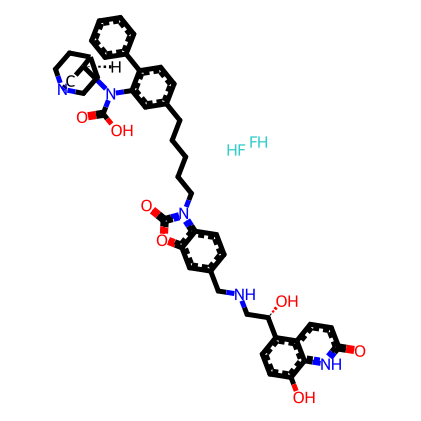 F.F.O=C(O)N(c1cc(CCCCCn2c(=O)oc3cc(CNC[C@H](O)c4ccc(O)c5[nH]c(=O)ccc45)ccc32)ccc1-c1ccccc1)[C@H]1CN2CCC1CC2